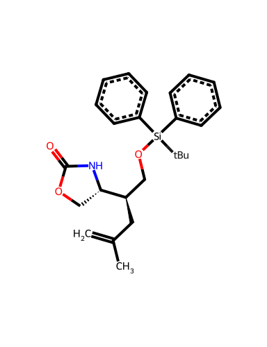 C=C(C)C[C@H](CO[Si](c1ccccc1)(c1ccccc1)C(C)(C)C)[C@@H]1COC(=O)N1